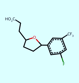 O=C(O)CCC1CCC(c2cc(F)cc(C(F)(F)F)c2)O1